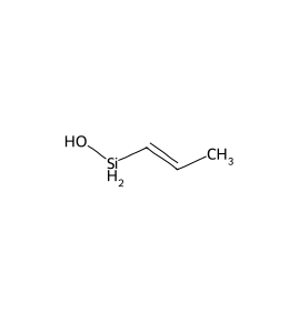 CC=C[SiH2]O